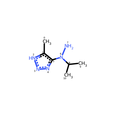 Cc1[nH]nnc1N(N)C(C)C